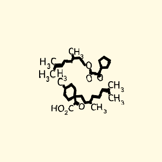 CC(C)=CCCC(C)CCC1(C(=O)C(=O)O)CCC(C)CC1.CC(C)=CCCC(C)CCOC(=O)C(=O)C1CCCC1